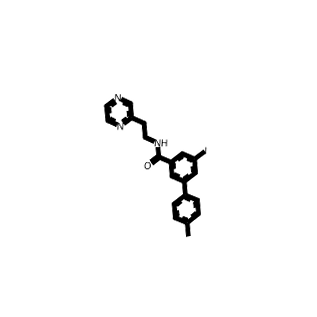 Cc1ccc(-c2cc(I)cc(C(=O)NCCc3cnccn3)c2)cc1